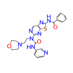 O=C(Nc1nc2cnc(N(CCN3CCOCC3)C(=O)Nc3cccnc3)nc2s1)c1ccccc1